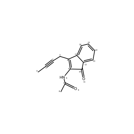 CC#CCC1=C(NC(C)=O)C(=O)c2ccccc21